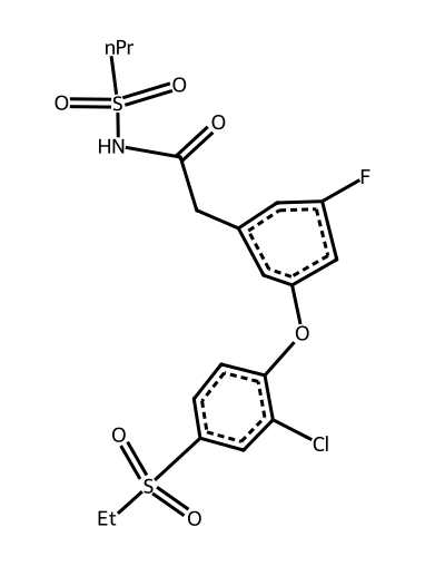 CCCS(=O)(=O)NC(=O)Cc1cc(F)cc(Oc2ccc(S(=O)(=O)CC)cc2Cl)c1